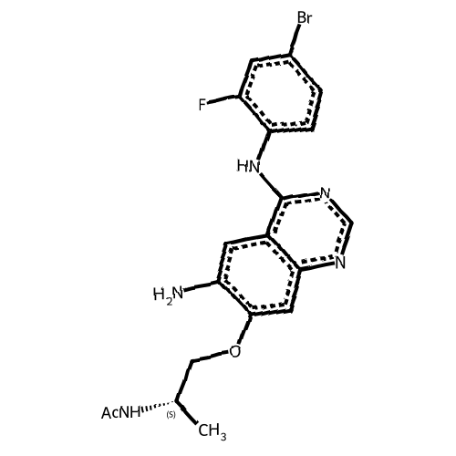 CC(=O)N[C@@H](C)COc1cc2ncnc(Nc3ccc(Br)cc3F)c2cc1N